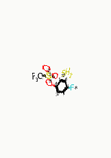 O=S(=O)(Oc1ccc(F)cc1)C(F)(F)F.S